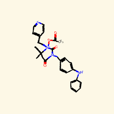 CC1(C)C(=O)N(c2ccc(Nc3ccccc3)cc2)C(=O)[N+]1(Cc1ccncc1)OC(=O)C(F)(F)F